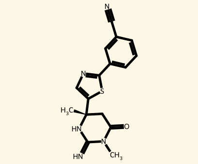 CN1C(=N)N[C@](C)(c2cnc(-c3cccc(C#N)c3)s2)CC1=O